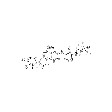 COC(=O)c1nc(Sc2ccnc(N3CC(C(C)(C)O)C3)c2Cl)cnc1N1CCC(C)(C(CF)NC(=O)OC(C)(C)C)CC1